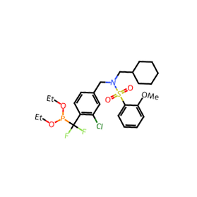 CCOP(OCC)C(F)(F)c1ccc(CN(CC2CCCCC2)S(=O)(=O)c2ccccc2OC)cc1Cl